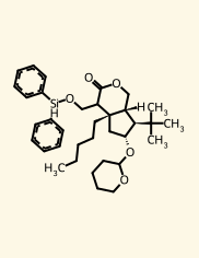 CCCCC[C@]12C[C@@H](OC3CCCCO3)[C@H](C(C)(C)C)[C@H]1COC(=O)C2CO[SiH](c1ccccc1)c1ccccc1